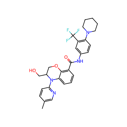 Cc1ccc(N2c3cccc(C(=O)Nc4ccc(N5CCCCC5)c(C(F)(F)F)c4)c3OCC2CO)nc1